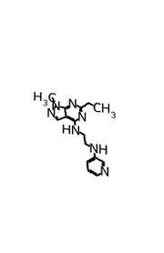 CCc1nc(NCCNc2cccnc2)c2cnn(C)c2n1